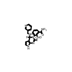 NC(=O)c1cccc(N2C(F)=Nc3[nH]ccc3C2(F)NCc2cccnc2)c1C=O